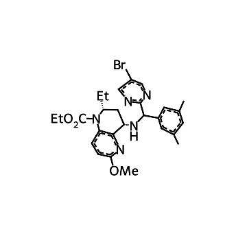 CCOC(=O)N1c2ccc(OC)nc2[C@@H](NC(c2cc(C)cc(C)c2)c2ncc(Br)cn2)C[C@H]1CC